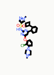 CN1CCN(c2cccc(Oc3cc(-c4ccccc4C4CCC4)nc(NS(=O)(=O)c4cnn(C)c4)n3)c2Cl)CC1